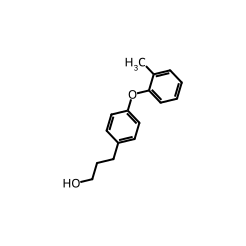 Cc1ccccc1Oc1ccc(CCCO)cc1